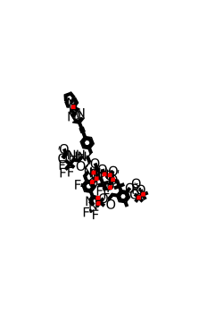 COC(=O)N[C@H](C(=O)N[C@@H](Cc1ccc(C#Cc2cnc(N3CC4CCC(C3)N4C3COC3)nc2)cc1)[C@H](CN(Cc1c(F)cc(-c2ccn(C(F)F)n2)cc1F)NC(=O)[C@@H](NC(=O)OC)C(C)(C)C(F)(F)F)OC(=O)OCOC(=O)CC(C)(C)c1c(CC(=O)OC(C)(C)C)cc(C)cc1OP(=O)(OC(C)(C)C)OC(C)(C)C)C(C)(C)C(F)(F)F